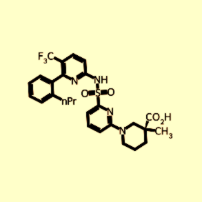 CCCc1ccccc1-c1nc(NS(=O)(=O)c2cccc(N3CCC[C@](C)(C(=O)O)C3)n2)ccc1C(F)(F)F